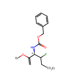 C=C(OCC)[C@@H](NC(=O)OCc1ccccc1)C(F)CC(=O)OCC